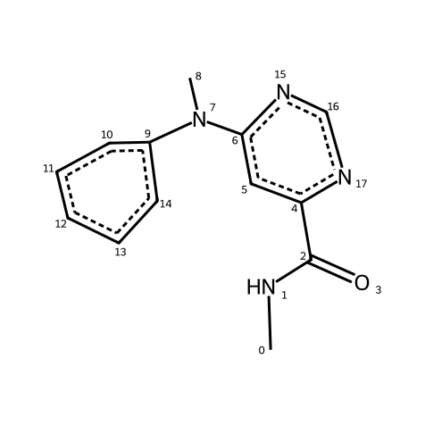 CNC(=O)c1cc(N(C)c2ccccc2)ncn1